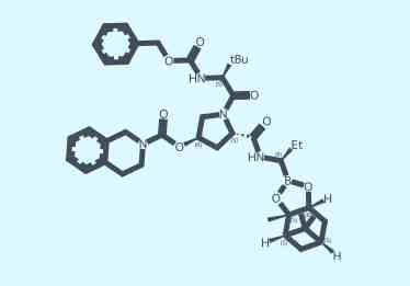 CC[C@H](NC(=O)[C@@H]1C[C@@H](OC(=O)N2CCc3ccccc3C2)CN1C(=O)[C@@H](NC(=O)OCc1ccccc1)C(C)(C)C)B1O[C@@H]2C[C@@H]3C[C@@H](C3(C)C)[C@]2(C)O1